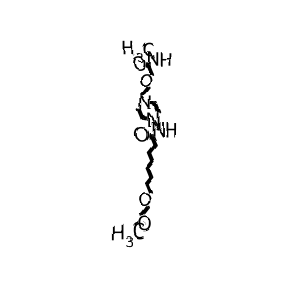 CNC(=O)COCCN1CCN(NC(=O)CCCCCCCOCCOC)CC1